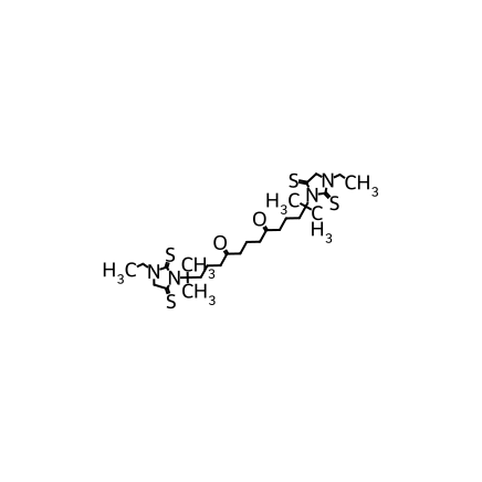 CCN1CC(=S)N(C(C)(C)CCCC(=O)CCCC(=O)CCCC(C)(C)N2C(=S)CN(CC)C2=S)C1=S